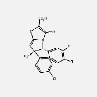 CC(C)C1=C(C(=O)O)SC2=N[C@@](C)(c3ccc(Cl)nc3)[C@@H](c3ccc(Cl)c(F)c3)N21